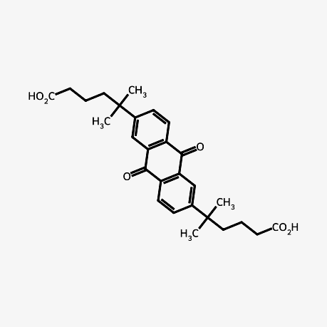 CC(C)(CCCC(=O)O)c1ccc2c(c1)C(=O)c1ccc(C(C)(C)CCCC(=O)O)cc1C2=O